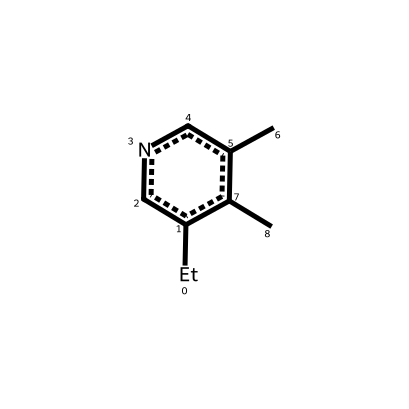 CCc1cncc(C)c1C